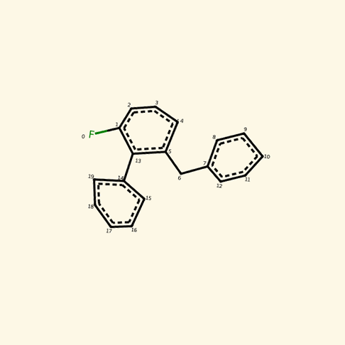 Fc1cc[c]c(Cc2ccccc2)c1-c1ccccc1